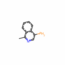 Cc1ncc(P)c2ccccc12